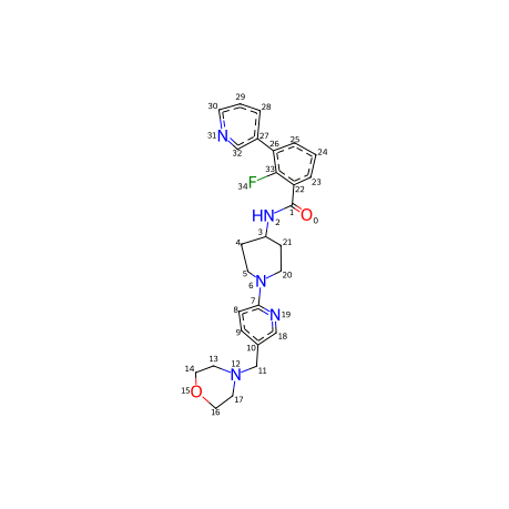 O=C(NC1CCN(c2ccc(CN3CCOCC3)cn2)CC1)c1cccc(-c2cccnc2)c1F